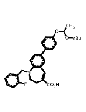 CCCCOC(C)Oc1ccc(-c2ccc3c(c2)C=C(C(=O)O)CCN3Cc2ccccc2F)cc1